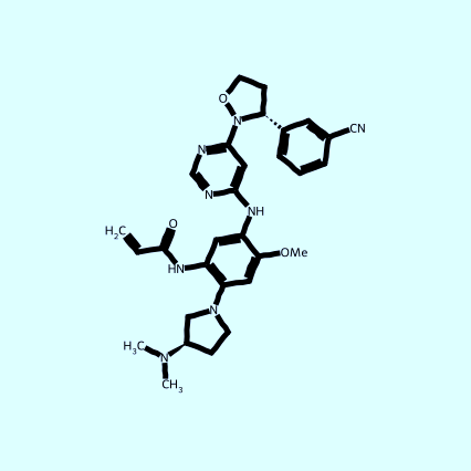 C=CC(=O)Nc1cc(Nc2cc(N3OCC[C@@H]3c3cccc(C#N)c3)ncn2)c(OC)cc1N1CC[C@@H](N(C)C)C1